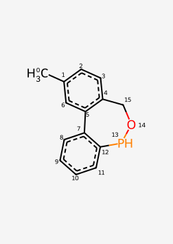 Cc1ccc2c(c1)-c1ccccc1POC2